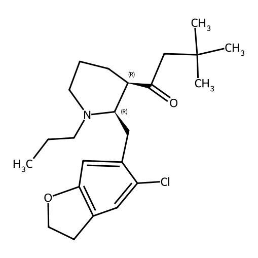 CCCN1CCC[C@@H](C(=O)CC(C)(C)C)[C@H]1Cc1cc2c(cc1Cl)CCO2